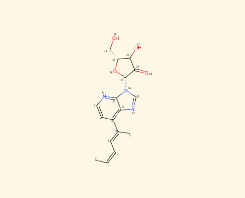 C/C=C\C=C(/C)c1ccnc2c1ncn2[C@@H]1O[C@H](CO)C(O)C1=O